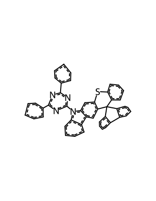 c1ccc(-c2nc(-c3ccccc3)nc(-n3c4ccccc4c4cc5c(cc43)Sc3ccccc3C53c4ccccc4-c4ccccc43)n2)cc1